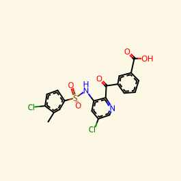 Cc1cc(S(=O)(=O)Nc2cc(Cl)cnc2C(=O)c2cccc(C(=O)O)c2)ccc1Cl